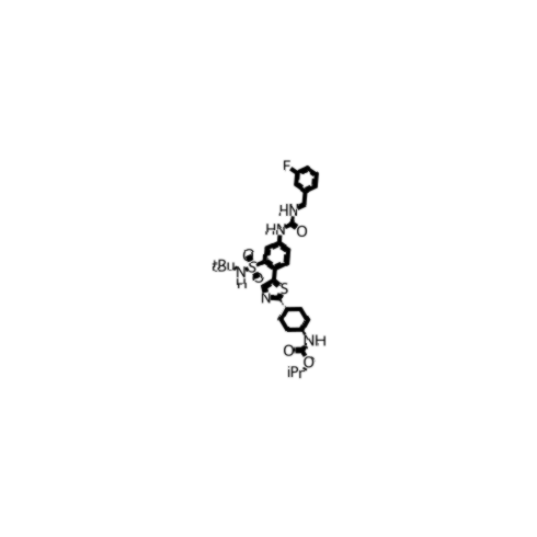 CC(C)OC(=O)N[C@H]1CC[C@H](c2ncc(-c3ccc(NC(=O)NCc4cccc(F)c4)cc3S(=O)(=O)NC(C)(C)C)s2)CC1